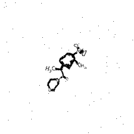 Cc1cc(C(C)C(=O)N2CCOCC2)ccc1[N+](=O)[O-]